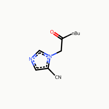 CCCCC(=O)Cn1cncc1C#N